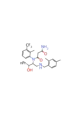 CCCC(O)C(CNCc1ccc(C)cc1C)N(C(=O)CC(N)=O)c1cccc(C(F)(F)F)c1C